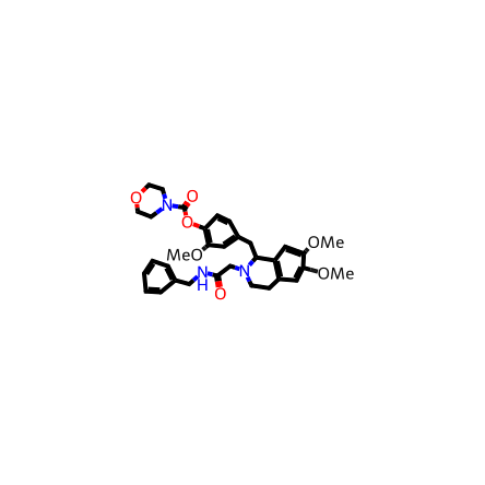 COc1cc2c(cc1OC)C(Cc1ccc(OC(=O)N3CCOCC3)c(OC)c1)N(CC(=O)NCc1ccccc1)CC2